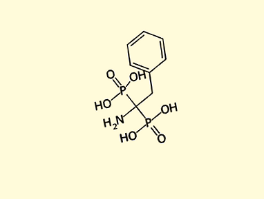 NC(Cc1ccccc1)(P(=O)(O)O)P(=O)(O)O